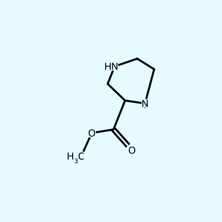 COC(=O)C1CNCC[N]1